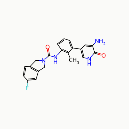 Cc1c(NC(=O)N2Cc3ccc(F)cc3C2)cccc1-c1c[nH]c(=O)c(N)c1